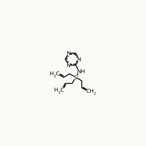 C=CC[Si](CC=C)(CC=C)Nc1ncncn1